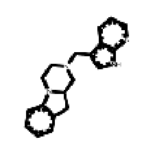 c1ccc2c(c1)CC1CN(Cc3c[nH]c4ncccc34)CCN21